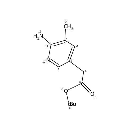 Cc1cc(CC(=O)OC(C)(C)C)cnc1N